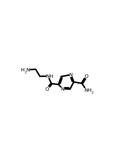 NCCNC(=O)c1cnc(C(N)=O)cn1